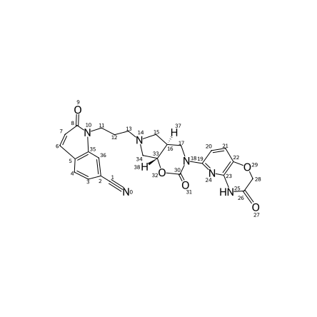 N#Cc1ccc2ccc(=O)n(CCCN3C[C@H]4CN(c5ccc6c(n5)NC(=O)CO6)C(=O)O[C@@H]4C3)c2c1